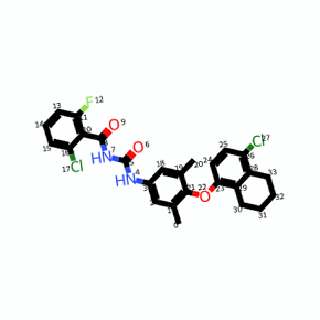 Cc1cc(NC(=O)NC(=O)c2c(F)cccc2Cl)cc(C)c1Oc1ccc(Cl)c2c1CCCC2